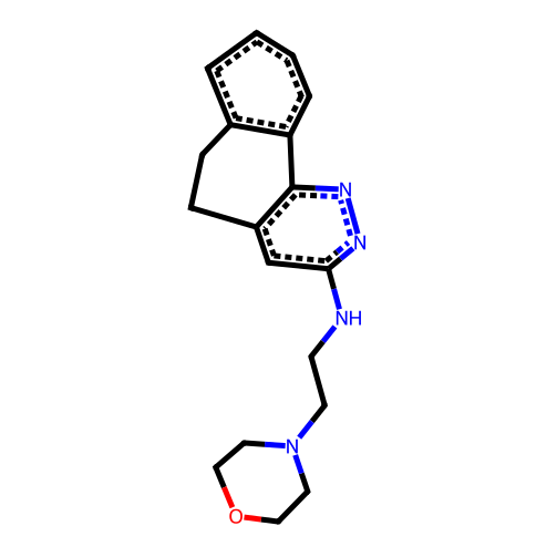 c1ccc2c(c1)CCc1cc(NCCN3CCOCC3)nnc1-2